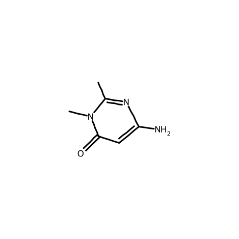 Cc1nc(N)cc(=O)n1C